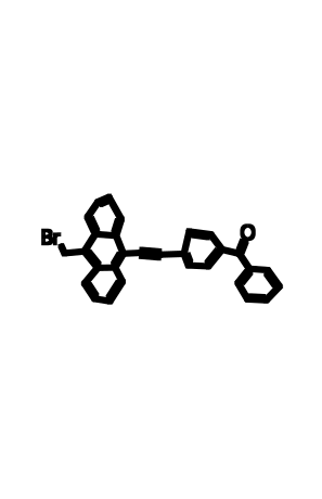 O=C(c1ccccc1)c1ccc(C#Cc2c3ccccc3c(CBr)c3ccccc23)cc1